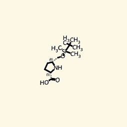 CC(C)(C)[Si](C)(C)OC[C@H]1CC[C@@H](C(=O)O)N1